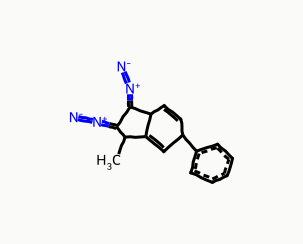 CC1C2=CC(c3ccccc3)C=CC2C(=[N+]=[N-])C1=[N+]=[N-]